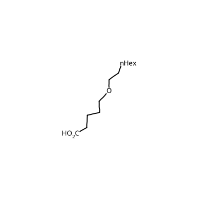 CCCCCCCCOCCCCC(=O)O